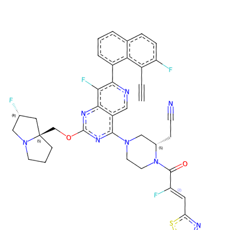 C#Cc1c(F)ccc2cccc(-c3ncc4c(N5CCN(C(=O)/C(F)=C/c6nccs6)[C@@H](CC#N)C5)nc(OC[C@@]56CCCN5C[C@H](F)C6)nc4c3F)c12